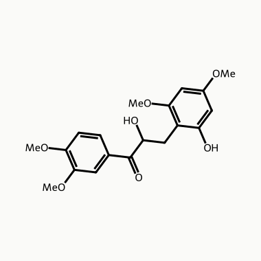 COc1cc(O)c(CC(O)C(=O)c2ccc(OC)c(OC)c2)c(OC)c1